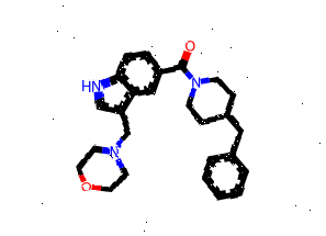 O=C(c1ccc2[nH]cc(CN3CCOCC3)c2c1)N1CCC(Cc2ccccc2)CC1